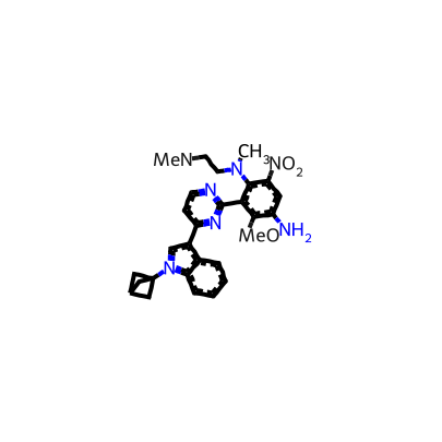 CNCCN(C)c1c([N+](=O)[O-])cc(N)c(OC)c1-c1nccc(-c2cn(C34CC(C3)C4)c3ccccc23)n1